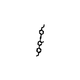 CCCc1ccc(C#Cc2ccc(-c3ccc(CC)cc3)cc2C)cc1